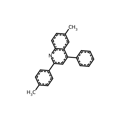 Cc1ccc(-c2cc(-c3ccccc3)c3cc(C)ccc3n2)cc1